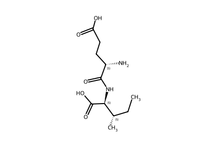 CC[C@H](C)[C@H](NC(=O)[C@@H](N)CCC(=O)O)C(=O)O